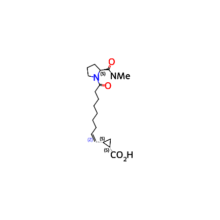 CNC(=O)[C@@H]1CCCN1C(=O)CCCCCC/C=C\[C@@H]1C[C@@H]1C(=O)O